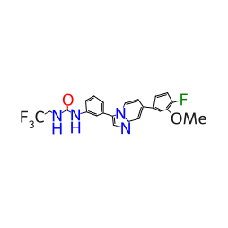 COc1cc(-c2ccn3c(-c4cccc(NC(=O)NCC(F)(F)F)c4)cnc3c2)ccc1F